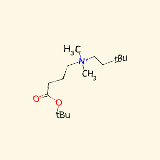 CC(C)(C)CC[N+](C)(C)CCCC(=O)OC(C)(C)C